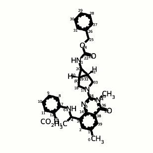 Cc1cc(C(C)Nc2ccccc2C(=O)O)c2nc(N3C[C@@H]4C(NC(=O)OCc5ccccc5)[C@@H]4C3)n(C)c(=O)c2c1